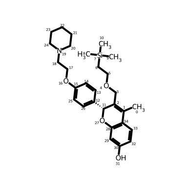 CC1=C(COCC[Si](C)(C)C)[C@@H](c2ccc(OCCN3CCCCC3)cc2)Oc2cc(O)ccc21